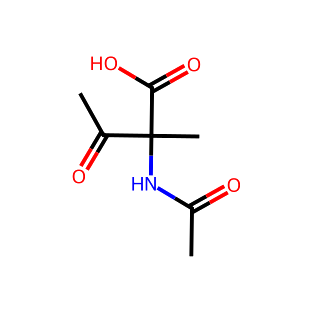 CC(=O)NC(C)(C(C)=O)C(=O)O